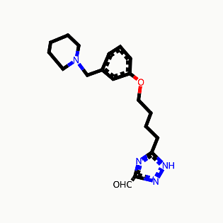 O=Cc1n[nH]c(CCCCOc2cccc(CN3CCCCC3)c2)n1